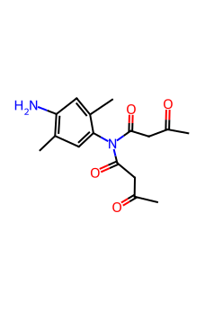 CC(=O)CC(=O)N(C(=O)CC(C)=O)c1cc(C)c(N)cc1C